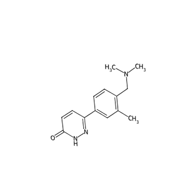 Cc1cc(-c2ccc(=O)[nH]n2)ccc1CN(C)C